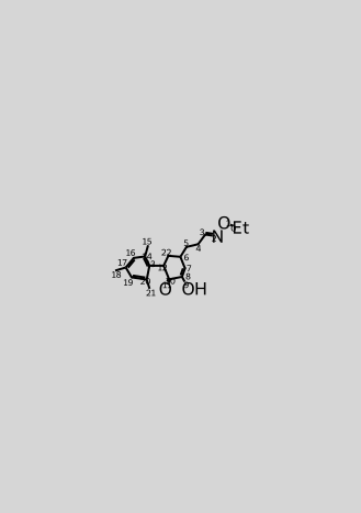 CCON=CCCC1C=C(O)C(=O)C(c2c(C)cc(C)cc2C)C1